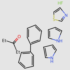 CCC(=O)CC.F.c1cc[nH]c1.c1cc[nH]c1.c1ccc(-c2ccccc2)cc1.c1cscn1